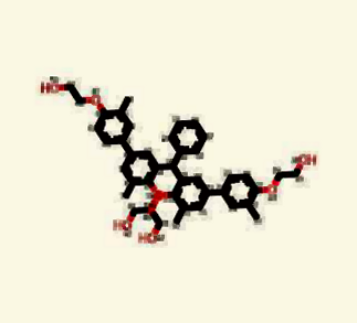 Cc1cc(-c2cc(C)c(OCCO)c(C(c3ccccc3)c3cc(-c4ccc(OCCO)c(C)c4)cc(C)c3OCCO)c2)ccc1OCCO